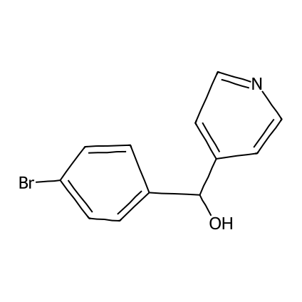 OC(c1ccncc1)c1ccc(Br)cc1